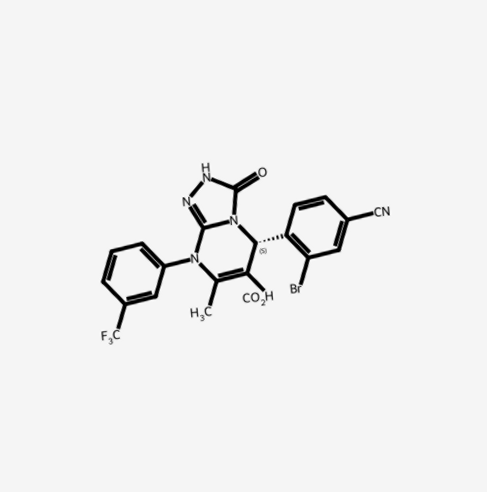 CC1=C(C(=O)O)[C@@H](c2ccc(C#N)cc2Br)n2c(n[nH]c2=O)N1c1cccc(C(F)(F)F)c1